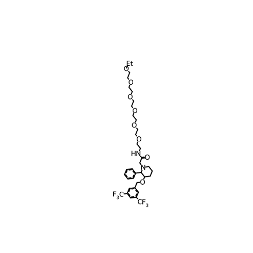 CCOCCOCCOCCOCCOCCOCCNC(=O)CN1CCCC(OCc2cc(C(F)(F)F)cc(C(F)(F)F)c2)C1c1ccccc1